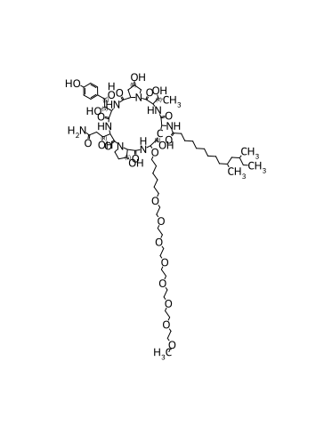 CCC(C)CC(C)CCCCCCCCC(=O)NC1C[C@@H](O)C(OCCCCCCOCCOCCOCCOCCOCCOCCOCCOC)NC(=O)C2[C@@H](O)CCN2C(=O)C([C@H](O)CC(N)=O)NC(=O)C([C@H](O)[C@@H](O)c2ccc(O)cc2)NC(=O)C2C[C@@H](O)CN2C(=O)C([C@@H](C)O)NC1=O